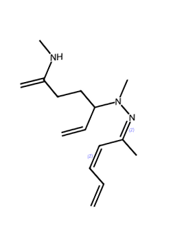 C=C/C=C\C(C)=N/N(C)C(C=C)CCC(=C)NC